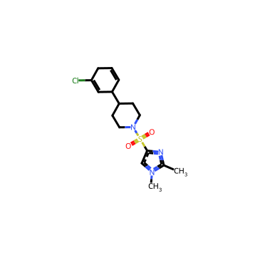 Cc1nc(S(=O)(=O)N2CCC(C3C=CCC(Cl)=C3)CC2)cn1C